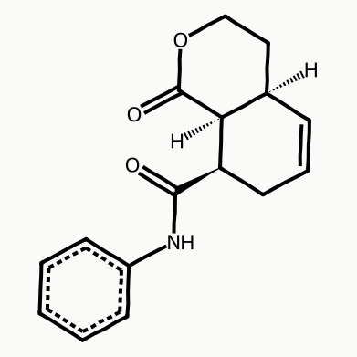 O=C1OCC[C@H]2C=CC[C@@H](C(=O)Nc3ccccc3)[C@@H]12